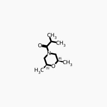 CC(C)C(=O)N1C[C@@H](C)O[C@@H](C)C1